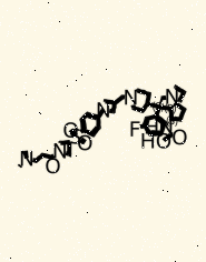 CN(C)CCC(=O)N1CC(S(=O)(=O)c2ccc(N3CC(CN4CCC([C@@](CN5CCC5)(c5cccc(F)c5)[C@H]5CCC[C@@H]5NC(=O)O)CC4)C3)cc2)C1